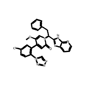 COc1cn(C(Cc2ccccc2)c2nc3cccnc3[nH]2)c(=O)cc1-c1cc(Cl)ccc1-n1cnnn1